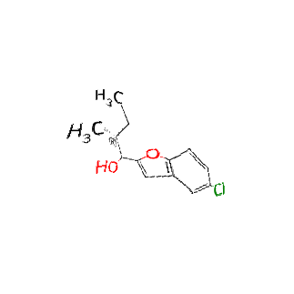 CC[C@@H](C)C(O)c1cc2cc(Cl)ccc2o1